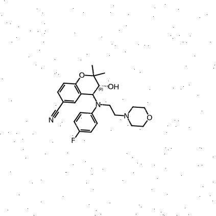 CC1(C)Oc2ccc(C#N)cc2C(N(CCN2CCOCC2)c2ccc(F)cc2)[C@H]1O